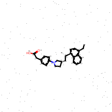 CCc1ccc([C@@H](C)C[C@H]2CCN(c3ccc(CC(=O)O)cc3)C2)c2ccccc12